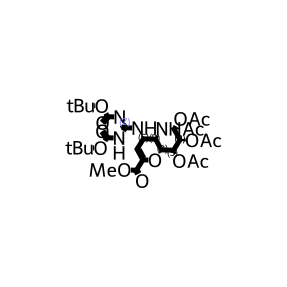 COC(=O)C1=C[C@H](N/C(=N/C(=O)OC(C)(C)C)NC(=O)OC(C)(C)C)[C@@H](NC(C)=O)[C@H]([C@H](OC(C)=O)[C@@H](COC(C)=O)OC(C)=O)O1